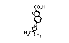 CC1(C)CN(c2ccc3cc(C(=O)O)oc3c2)C1